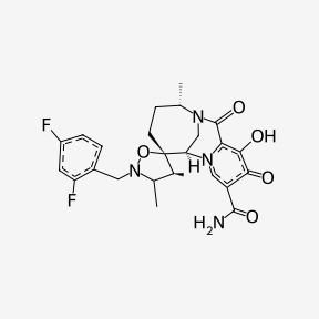 CC1[C@H](C)[C@]2(CC[C@H](C)N3C[C@H]2n2cc(C(N)=O)c(=O)c(O)c2C3=O)ON1Cc1ccc(F)cc1F